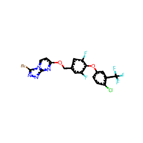 Fc1cc(COc2ccn3c(Br)nnc3n2)cc(F)c1Oc1ccc(Cl)c(C(F)(F)F)c1